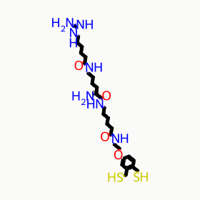 N=C(N)NCCCCCC(=O)NCCCC[C@H](N)C(=O)NCCCCCC(=O)NCCOc1ccc(CS)c(CS)c1